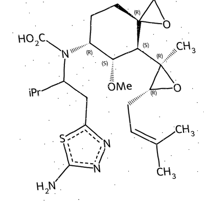 CO[C@@H]1[C@H](N(C(=O)O)C(Cc2nnc(N)s2)C(C)C)CC[C@]2(CO2)[C@H]1[C@@]1(C)O[C@@H]1CC=C(C)C